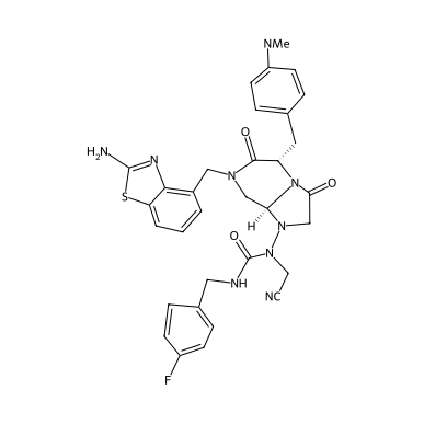 CNc1ccc(C[C@H]2C(=O)N(Cc3cccc4sc(N)nc34)C[C@H]3N2C(=O)CN3N(CC#N)C(=O)NCc2ccc(F)cc2)cc1